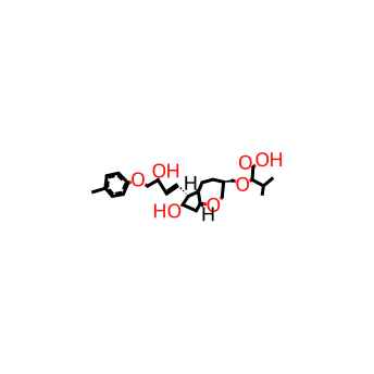 Cc1ccc(OC[C@H](O)/C=C/[C@@H]2[C@H]3CC[C@@H](COC(C(=O)O)C(C)C)CO[C@H]3C[C@H]2O)cc1